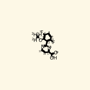 [2H]C([2H])([2H])Oc1c(F)ccc(F)c1-c1nccc(C(=O)O)n1